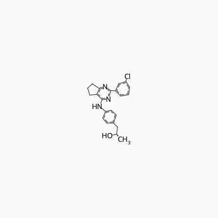 C[C@@H](O)Cc1ccc(Nc2nc(-c3cccc(Cl)c3)nc3c2CCC3)cc1